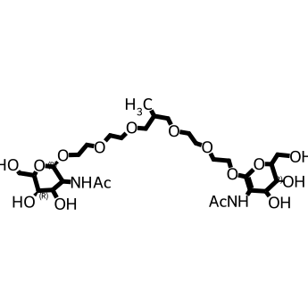 CC(=O)NC1=C(OCCOCCOCC(C)COCCOCCO[C@@H]2OC(CO)[C@H](O)C(O)C2NC(C)=O)OC(CO)[C@H](O)C1O